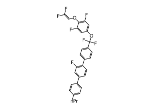 CCCc1ccc(-c2ccc(-c3ccc(C(F)(F)Oc4cc(F)c(OC=C(F)F)c(F)c4)cc3)c(F)c2)cc1